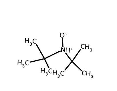 CC(C)(C)[NH+]([O-])C(C)(C)C